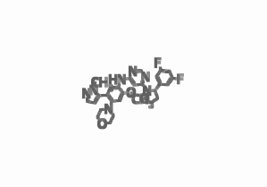 COc1cc(N2CCOCC2)c(-c2ccnn2C)cc1Nc1cc(N2OCC[C@@H]2c2cc(F)cc(F)c2)ncn1